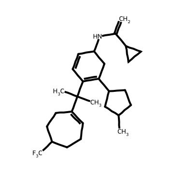 C=C(NC1C=CC(C(C)(C)C2=CCCC(C(F)(F)F)CC2)=C(C2CCC(C)C2)C1)C1CC1